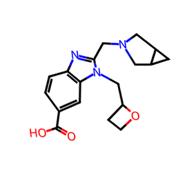 O=C(O)c1ccc2nc(CN3CC4CC4C3)n(CC3CCO3)c2c1